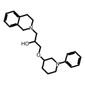 OC(COC1CCCN(c2ccccc2)C1)CN1CCc2ccccc2C1